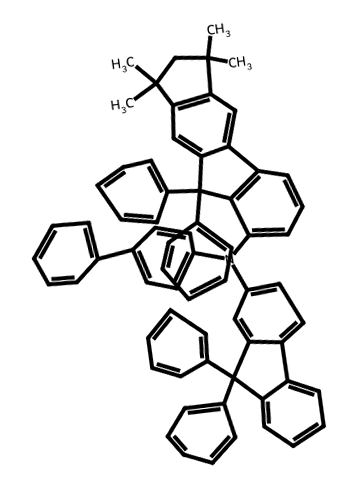 CC1(C)CC(C)(C)c2cc3c(cc21)-c1cccc(N(c2ccc(-c4ccccc4)cc2)c2ccc4c(c2)C(c2ccccc2)(c2ccccc2)c2ccccc2-4)c1C3(c1ccccc1)c1ccccc1